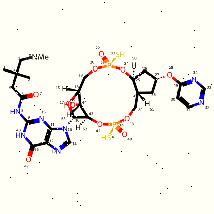 CNCC(C)(C)CC(=O)Nc1nc2c(ncn2[C@@H]2O[C@@H]3CO[P@@](=O)(S)O[C@H]4C[C@H](Oc5ccncn5)C[C@@H]4CO[P@@](=O)(S)O[C@@H]2[C@@H]3O)c(=O)[nH]1